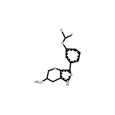 O=C(O)C1COc2c(-c3cccc(OC(F)F)c3)n[nH]c2C1